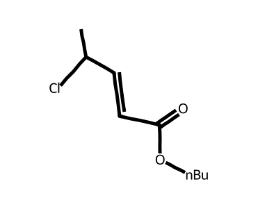 CCCCOC(=O)C=CC(C)Cl